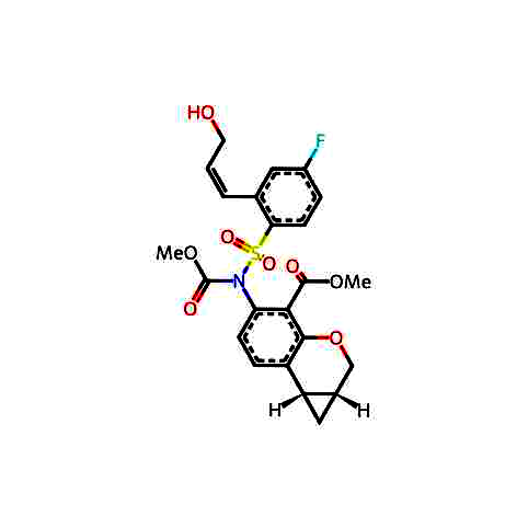 COC(=O)c1c(N(C(=O)OC)S(=O)(=O)c2ccc(F)cc2/C=C\CO)ccc2c1OC[C@@H]1C[C@H]21